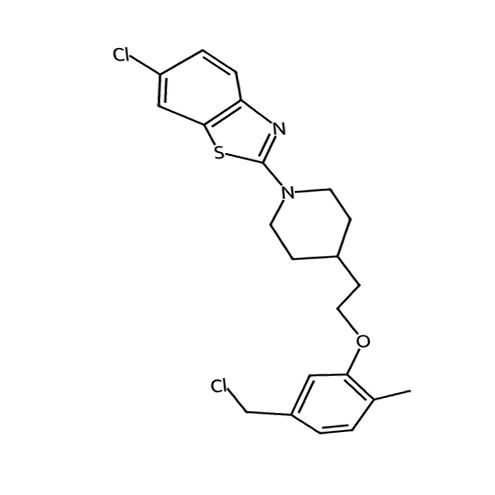 Cc1ccc(CCl)cc1OCCC1CCN(c2nc3ccc(Cl)cc3s2)CC1